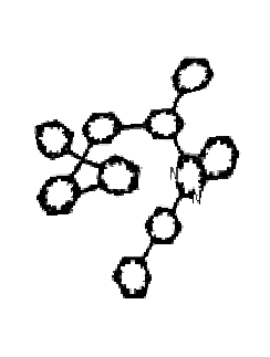 c1ccc(-c2ccc(-c3nc(-c4cc(-c5ccccc5)cc(-c5cccc(C6(c7ccccc7)c7ccccc7-c7ccccc76)c5)c4)c4ccccc4n3)cc2)cc1